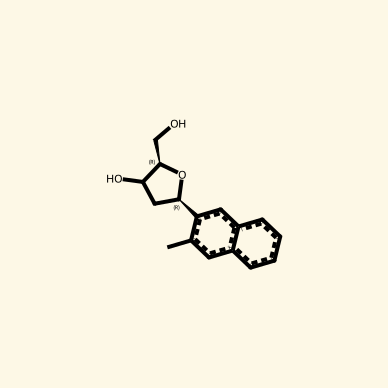 Cc1cc2ccccc2cc1[C@H]1CC(O)[C@@H](CO)O1